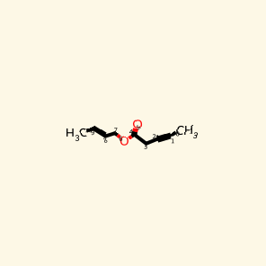 CC#CCC(=O)OC/C=C/C